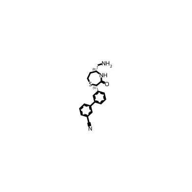 N#Cc1cccc(-c2cccc([C@@H]3SCC[C@H](CN)NC3=O)c2)c1